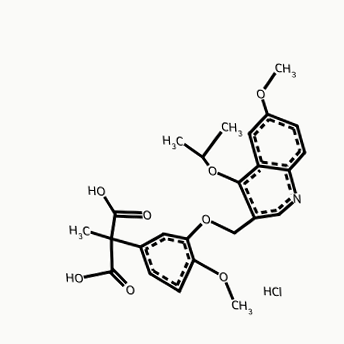 COc1ccc2ncc(COc3cc(C(C)(C(=O)O)C(=O)O)ccc3OC)c(OC(C)C)c2c1.Cl